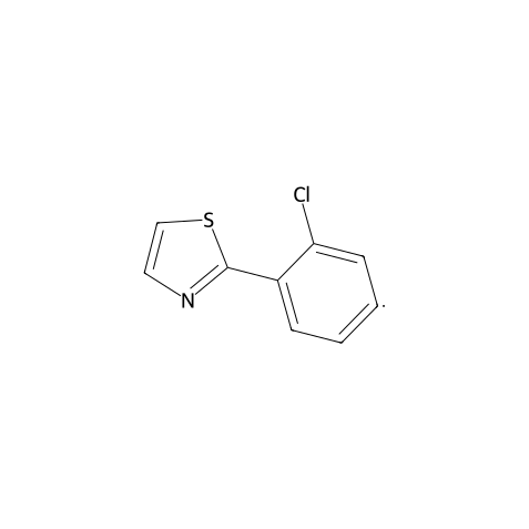 Clc1c[c]ccc1-c1nccs1